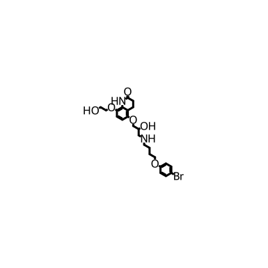 O=C1CCc2c(OCC(O)CNCCCCOc3ccc(Br)cc3)ccc(OCCO)c2N1